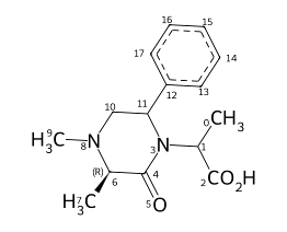 CC(C(=O)O)N1C(=O)[C@@H](C)N(C)CC1c1ccccc1